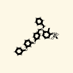 Cc1c(NS(C)(=O)=O)cccc1N(Cc1ccccc1)Cc1ccc(Oc2cccc(Oc3ccccc3)c2)cc1